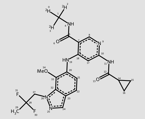 [2H]C([2H])([2H])NC(=O)c1cnc(NC(=O)C2CC2)cc1Nc1ccc2cnn(CC(C)(F)F)c2c1OC